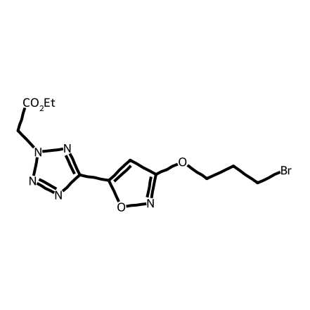 CCOC(=O)Cn1nnc(-c2cc(OCCCBr)no2)n1